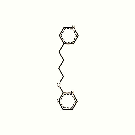 c1cnc(OCCCCc2ccncc2)nc1